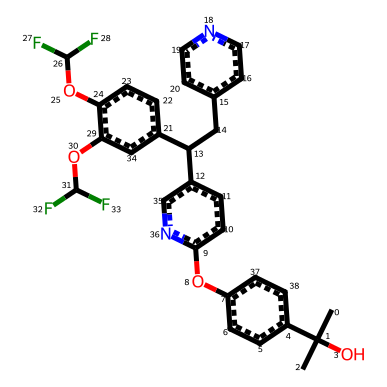 CC(C)(O)c1ccc(Oc2ccc(C(Cc3ccncc3)c3ccc(OC(F)F)c(OC(F)F)c3)cn2)cc1